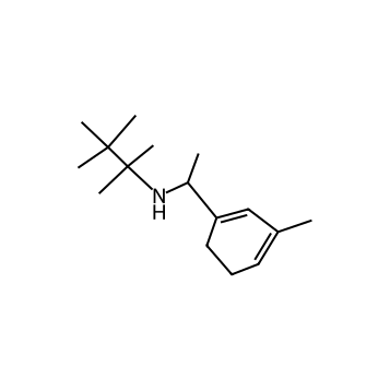 CC1=CCCC(C(C)NC(C)(C)C(C)(C)C)=C1